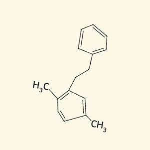 Cc1ccc(C)c(CCc2ccccc2)c1